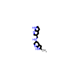 Cc1cc2cc(NCc3cnc4[nH]ccc4c3)cnc2[nH]1